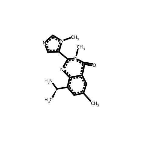 Cc1cc([C@@H](C)N)c2nc(-c3cncn3C)n(C)c(=O)c2c1